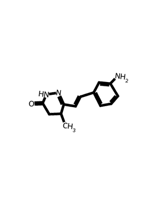 CC1CC(=O)NN=C1C=Cc1cccc(N)c1